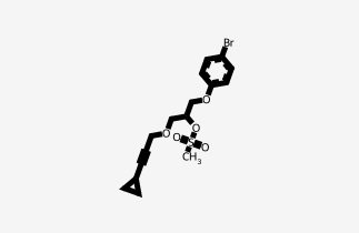 CS(=O)(=O)OC(COCC#CC1CC1)COc1ccc(Br)cc1